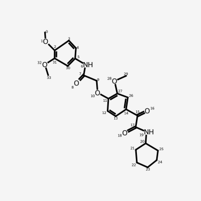 COc1ccc(NC(=O)COc2ccc(C(=O)C(=O)NC3CCCCC3)cc2OC)cc1OC